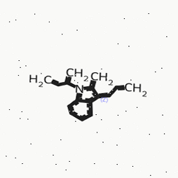 C=C/C=c1\c(=C)n(C(=C)C=C)c2ccccc12